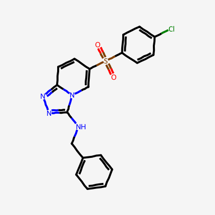 O=S(=O)(c1ccc(Cl)cc1)c1ccc2nnc(NCc3ccccc3)n2c1